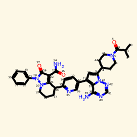 CC(C)C(=O)N1CCC(c2cc(-c3ccc(C4CCCn5c4c(C(N)=O)c(=O)n5-c4ccccc4)nc3)c3c(N)ncnn23)CC1